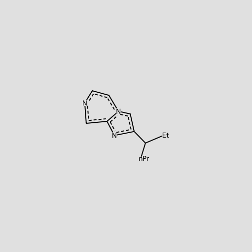 CCCC(CC)c1cn2ccncc2n1